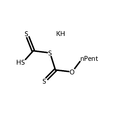 CCCCCOC(=S)SC(=S)S.[KH]